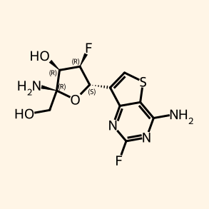 Nc1nc(F)nc2c([C@@H]3O[C@](N)(CO)[C@@H](O)[C@H]3F)csc12